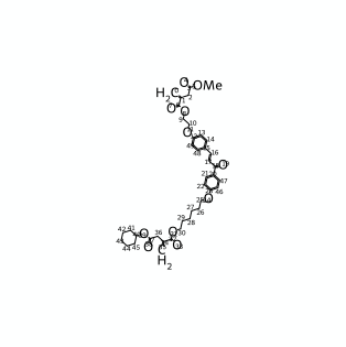 C=C(CC(=O)OC)C(=O)OCCOc1ccc(/C=C/C(=O)c2ccc(OCCCCCCOC(=O)C(=C)CC(=O)OC3CCCCC3)cc2)cc1